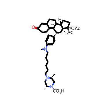 CC(=O)O[C@]1(C(C)=O)CC[C@H]2[C@@H]3CCC4=CC(=O)CCC4=C3[C@@H](c3ccc(N(C)CCCCCCN4C[C@@H](C)N(C(=O)O)C[C@@H]4C)cc3)C[C@@]21C